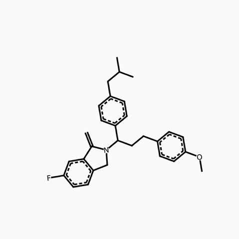 C=C1c2cc(F)ccc2CN1C(CCc1ccc(OC)cc1)c1ccc(CC(C)C)cc1